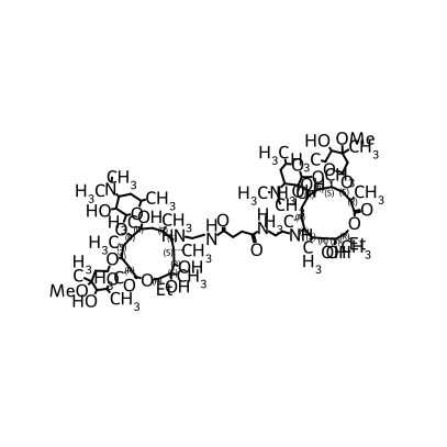 CC[C@H]1OC(=O)[C@H](C)[C@@H](OC2CC(C)(OC)C(O)C(C)O2)[C@H](C)[C@@H](OC2OC(C)CC(N(C)C)C2O)[C@](C)(O)C[C@@H](C)[C@H](NCCNC(=O)CCC(=O)NCCN[C@@H]2[C@H](C)[C@@H](O)[C@](C)(O)[C@@H](CC)OC(=O)[C@H](C)[C@@H](OC3CC(C)(OC)C(O)C(C)O3)[C@H](C)[C@@H](OC3OC(C)CC(N(C)C)C3O)[C@](C)(O)C[C@H]2C)[C@H](C)[C@@H](O)[C@]1(C)O